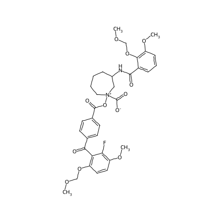 COCOc1ccc(OC)c(F)c1C(=O)c1ccc(C(=O)O[N+]2(C(=O)[O-])CCCCC(NC(=O)c3cccc(OC)c3OCOC)C2)cc1